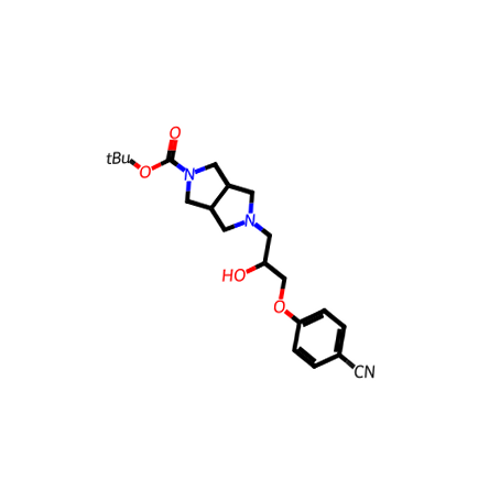 CC(C)(C)OC(=O)N1CC2CN(CC(O)COc3ccc(C#N)cc3)CC2C1